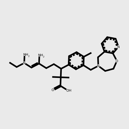 CCN(N)/C=C(\N)CCC(c1ccc(C)c(CN2CCOc3ncccc3C2)c1)C(C)(C)C(=O)O